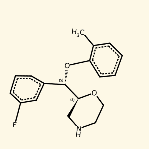 Cc1ccccc1O[C@@H](c1cccc(F)c1)[C@@H]1CNCCO1